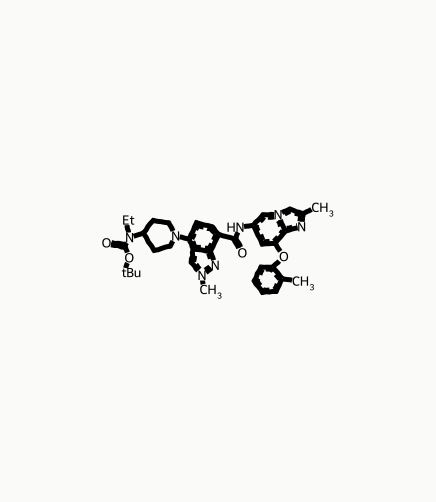 CCN(C(=O)OC(C)(C)C)C1CCN(c2ccc(C(=O)Nc3cc(Oc4ccccc4C)c4nc(C)cn4c3)c3nn(C)cc23)CC1